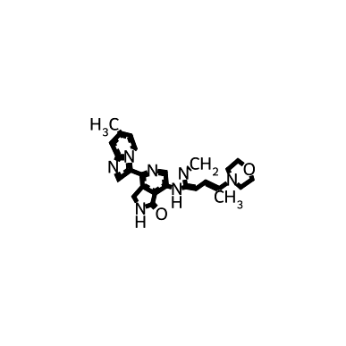 C=N/C(=C\C=C(/C)N1CCOCC1)Nc1cnc(-c2cnc3cc(C)ccn23)c2c1C(=O)NC2